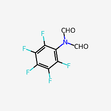 O=CN(C=O)c1c(F)c(F)c(F)c(F)c1F